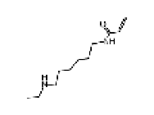 C=CC(=O)NCCCCCCNCC